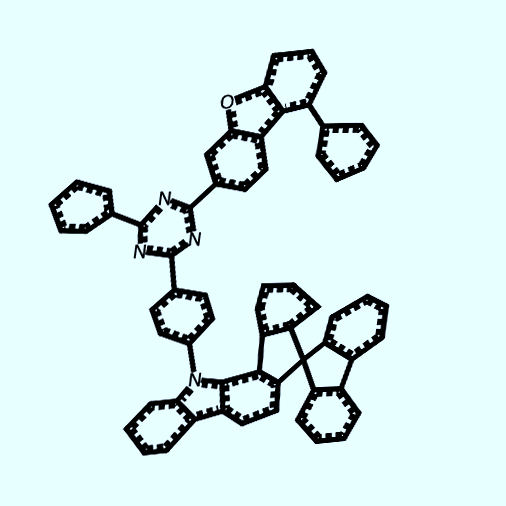 c1ccc(-c2nc(-c3ccc(-n4c5ccccc5c5ccc6c(c54)-c4ccccc4C64c5ccccc5-c5ccccc54)cc3)nc(-c3ccc4c(c3)oc3cccc(-c5ccccc5)c34)n2)cc1